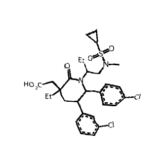 CCC(CN(C)S(=O)(=O)C1CC1)N1C(=O)C(CC)(CC(=O)O)CC(c2cccc(Cl)c2)C1c1ccc(Cl)cc1